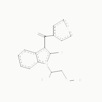 Cc1c(C(=O)c2ccccc2)c2ccccc2n1C(C)COC=O